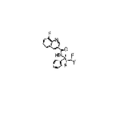 CC(NC(=O)c1cnc2c(F)cccc2c1)(c1ccccc1)C(F)C(F)F